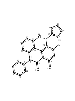 Cc1cc(=O)c(C(=O)Nc2ccccc2)c(-c2ccccc2Cl)n1Cc1ccco1